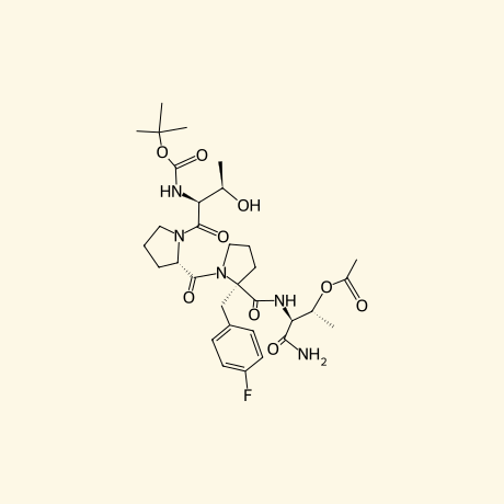 CC(=O)O[C@H](C)[C@H](NC(=O)[C@]1(Cc2ccc(F)cc2)CCCN1C(=O)[C@@H]1CCCN1C(=O)[C@@H](NC(=O)OC(C)(C)C)[C@@H](C)O)C(N)=O